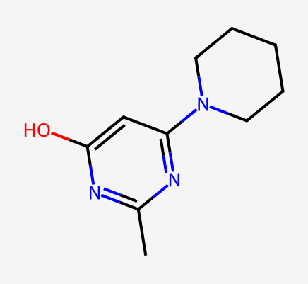 Cc1nc(O)cc(N2CCCCC2)n1